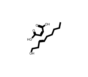 CCCCCC=CCCO.O=C(O)/C=C\C(=O)O